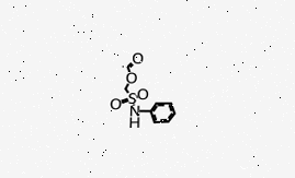 O=[C]OCS(=O)(=O)Nc1ccccc1